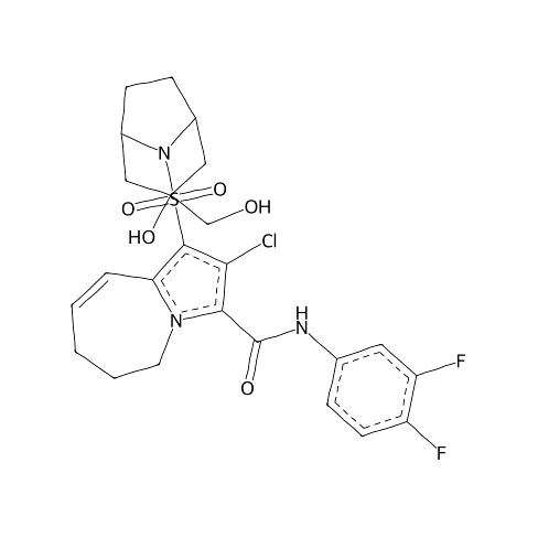 O=C(Nc1ccc(F)c(F)c1)c1c(Cl)c(S(=O)(=O)N2C3CCC2CC(O)(CO)C3)c2n1CCCC=C2